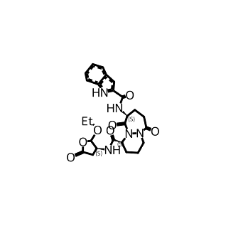 CCOC1OC(=O)C[C@@H]1NC(=O)[C@@H]1CCCN2C(=O)CC[C@H](NC(=O)c3cc4ccccc4[nH]3)C(=O)N12